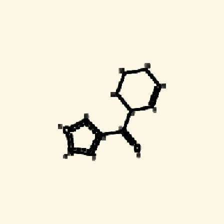 O=C(c1[c]noc1)C1C=CCCC1